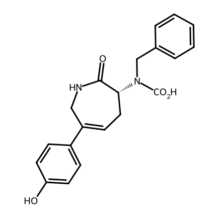 O=C1NCC(c2ccc(O)cc2)=CC[C@H]1N(Cc1ccccc1)C(=O)O